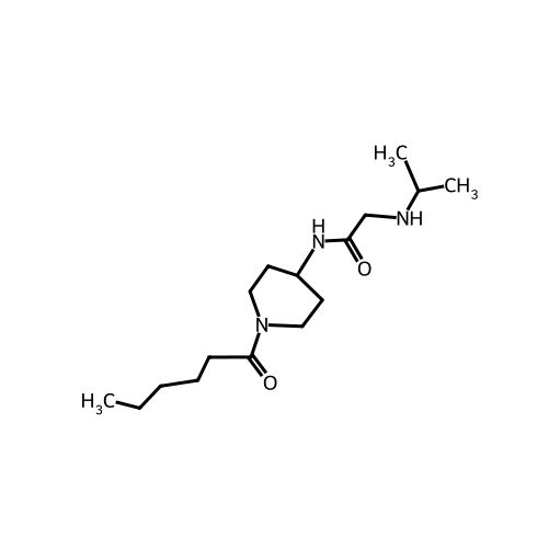 CCCCCC(=O)N1CCC(NC(=O)CNC(C)C)CC1